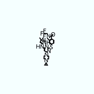 Cc1cc(Nc2cc(N3CCN(C4CC4)CC3)nc(Sc3ccc4c(c3)CN(CC(F)(F)F)C4=O)n2)[nH]n1